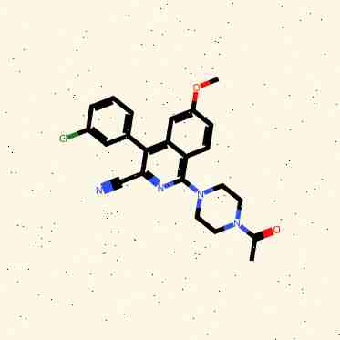 COc1ccc2c(N3CCN(C(C)=O)CC3)nc(C#N)c(-c3cccc(Cl)c3)c2c1